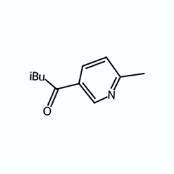 CCC(C)C(=O)c1ccc(C)nc1